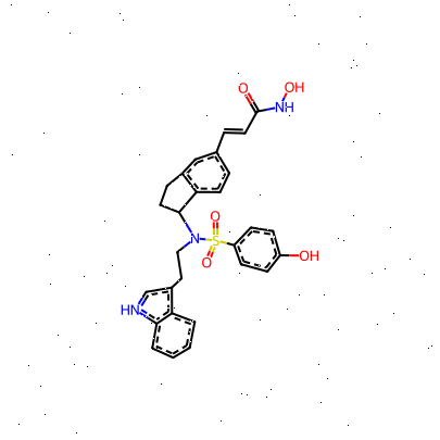 O=C(C=Cc1ccc2c(c1)CCC2N(CCc1c[nH]c2ccccc12)S(=O)(=O)c1ccc(O)cc1)NO